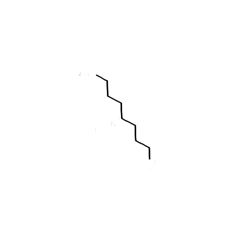 CCCCCCCCCCCCCCOC(C)=O.Cl.N